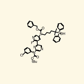 CC(C)(C)OC(=O)N(c1cccc(Cl)c1)c1cncc(-c2cc(N(CCCCC(C)(C)[Si](O)(c3ccccc3)c3ccccc3)C(=O)OCc3ccccc3)cnc2F)n1